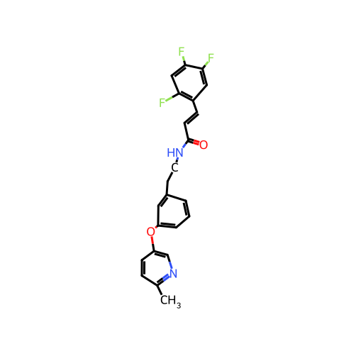 Cc1ccc(Oc2cccc(CCNC(=O)C=Cc3cc(F)c(F)cc3F)c2)cn1